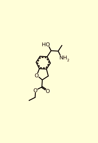 CCOC(=O)C1Cc2cc(C(O)C(C)N)ccc2O1